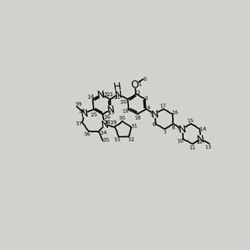 COc1cc(N2CCC(N3CCN(C)CC3)CC2)ccc1Nc1ncc2c(n1)N(C1CCCC1)C(C)CCN2C